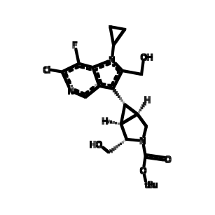 CC(C)(C)OC(=O)N1C[C@@H]2[C@@H](c3c(CO)n(C4CC4)c4c(F)c(Cl)ncc34)[C@@H]2[C@H]1CO